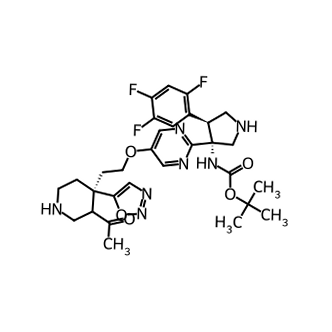 CC(=O)C1CNCC[C@@]1(CCOc1cnc([C@]2(NC(=O)OC(C)(C)C)CNC[C@@H]2c2cc(F)c(F)cc2F)nc1)c1cnno1